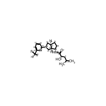 CC(C)C[C@H](O)C(=O)N[C@H]1CC[C@@H]2CN(c3cccc(C(F)(F)F)n3)C[C@@H]21